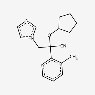 Cc1ccccc1C(C#N)(Cn1ccnc1)OC1CCCC1